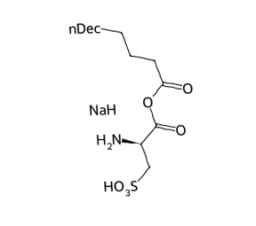 CCCCCCCCCCCCCC(=O)OC(=O)[C@H](N)CS(=O)(=O)O.[NaH]